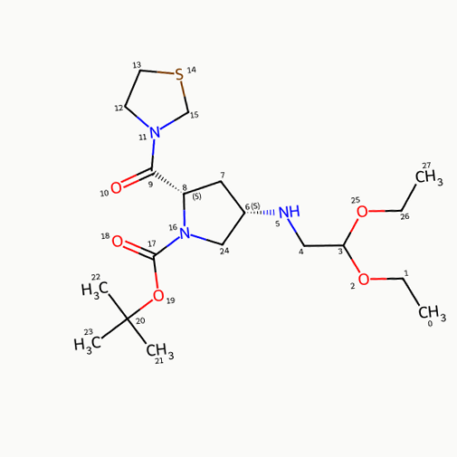 CCOC(CN[C@H]1C[C@@H](C(=O)N2CCSC2)N(C(=O)OC(C)(C)C)C1)OCC